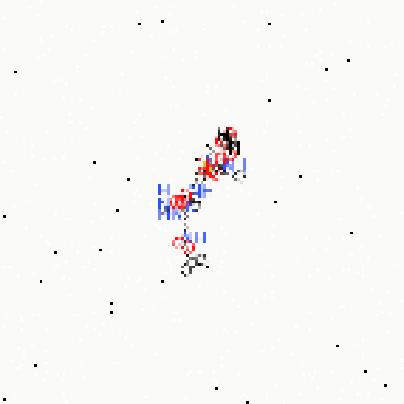 CC(C)CN(C[C@@H](O)[C@H](Cc1ccccc1)NC(=O)OC1CO[C@H]2OCC[C@@H]12)S(=O)(=O)c1ccc(CNC(=O)[C@@H]2CCCN2C(=O)[C@H](CCCCNC(=O)OCC2c3ccccc3-c3ccccc32)NC(=O)[C@@H]2CCCN2)cc1